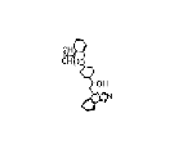 CN(C)C(=O)C1CC=CC=C1COC1CCC(C(O)CC2c3ccccc3-c3cncn32)CC1